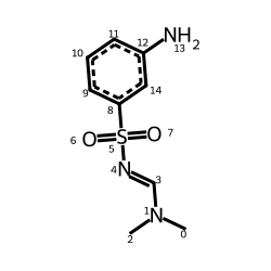 CN(C)C=NS(=O)(=O)c1cccc(N)c1